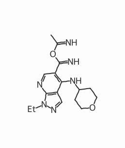 CCn1ncc2c(NC3CCOCC3)c(C(=N)OC(C)=N)cnc21